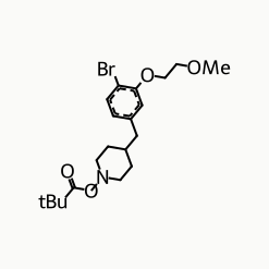 COCCOc1cc(CC2CCN(OC(=O)C(C)(C)C)CC2)ccc1Br